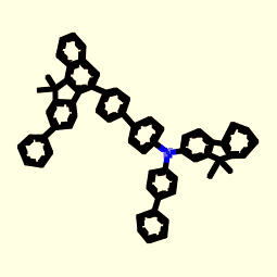 CC1(C)c2ccccc2-c2ccc(N(c3ccc(-c4ccccc4)cc3)c3ccc(-c4ccc(-c5cc6ccccc6c6c5-c5ccc(-c7ccccc7)cc5C6(C)C)cc4)cc3)cc21